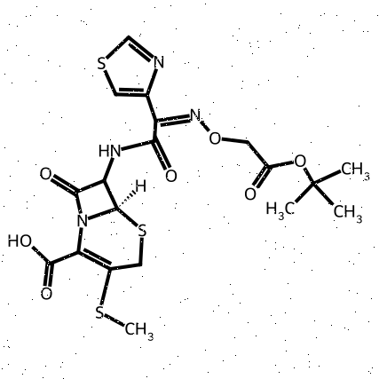 CSC1=C(C(=O)O)N2C(=O)C(NC(=O)/C(=N\OCC(=O)OC(C)(C)C)c3cscn3)[C@H]2SC1